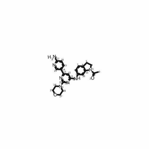 CC(=O)N1CCc2ccc(Nc3cc(-c4ccc(N)nc4)nc(N4CCOCC4)n3)cc21